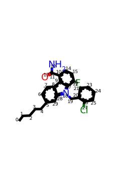 CCCCCc1c[c]c2c3c(C(N)=O)cccc3n(Cc3c(F)cccc3Cl)c2c1